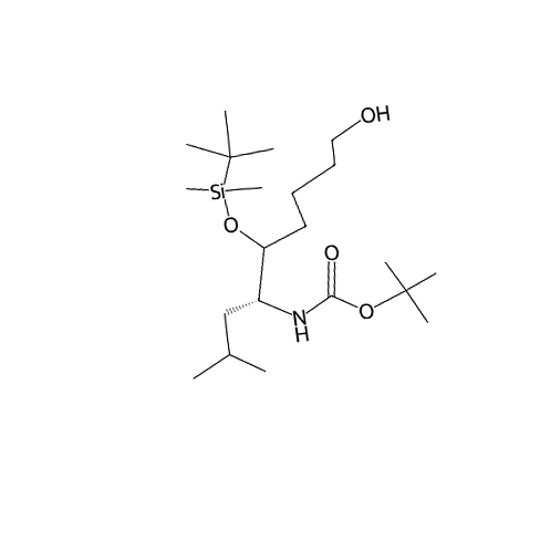 CC(C)C[C@@H](NC(=O)OC(C)(C)C)C(CCCCO)O[Si](C)(C)C(C)(C)C